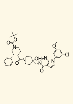 COc1cc(Cl)cc(-n2ccc3c(=O)n(CC4(O)CCN(C(=O)[C@@H]5CCN(C(=O)OC(C)(C)C)C[C@H]5c5ccccc5)CC4)cnc32)c1